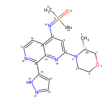 C[C@@H]1COCCN1c1cc(N=S(C)(=O)C(C)(C)C)c2ccnc(-c3ccn[nH]3)c2n1